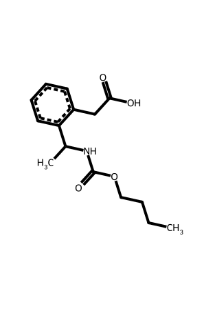 CCCCOC(=O)NC(C)c1ccccc1CC(=O)O